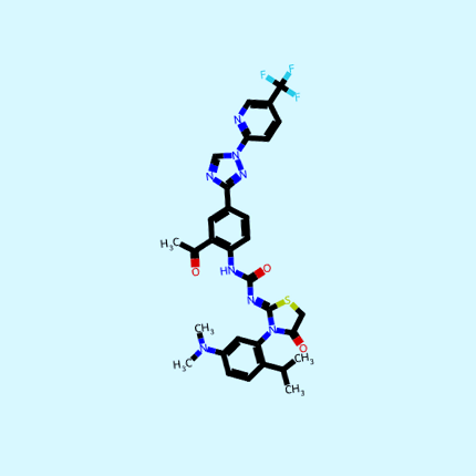 CC(=O)c1cc(-c2ncn(-c3ccc(C(F)(F)F)cn3)n2)ccc1NC(=O)N=C1SCC(=O)N1c1cc(N(C)C)ccc1C(C)C